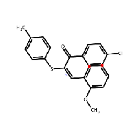 COc1ccccc1/C=C(/Sc1ccc(C)cc1)C(=O)c1ccc(Cl)cc1